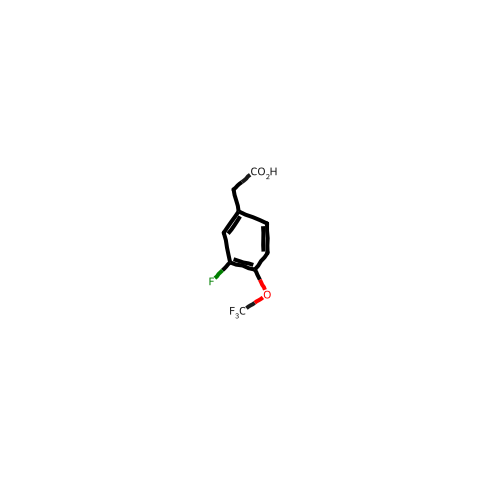 O=C(O)Cc1ccc(OC(F)(F)F)c(F)c1